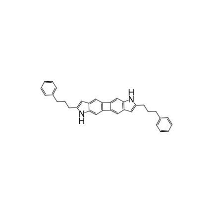 c1ccc(CCCc2cc3cc4c(cc3[nH]2)-c2cc3cc(CCCc5ccccc5)[nH]c3cc2-4)cc1